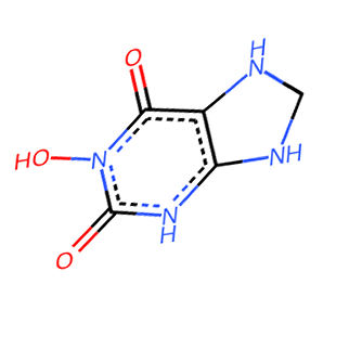 O=c1[nH]c2c(c(=O)n1O)NCN2